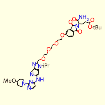 COC1CCN(c2nccc(Nc3cc4c(cn3)nc(COCCOCCOCCOc3ccc5c(c3)C(=O)N(C(CCC(=O)OC(C)(C)C)C(N)=O)C5=O)n4C(C)C)n2)CC1